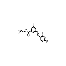 O=CCOC(=O)c1cc(F)cc(N=Cc2ccc(F)cc2F)c1